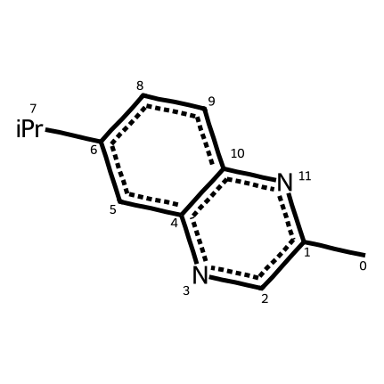 Cc1cnc2cc(C(C)C)ccc2n1